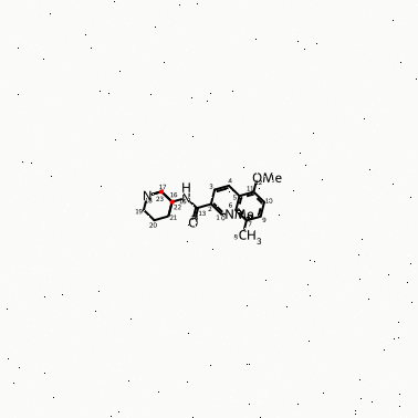 CN/C=C(\C=C/c1cc(C)ccc1OC)C(=O)NC1CN2CCC1CC2